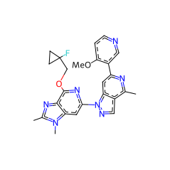 COc1ccncc1-c1cc2c(cnn2-c2cc3c(nc(C)n3C)c(OCC3(F)CC3)n2)c(C)n1